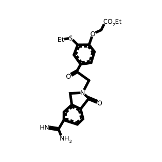 CCOC(=O)COc1ccc(C(=O)CN2Cc3cc(C(=N)N)ccc3C2=O)cc1SCC